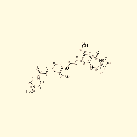 COc1cc(/C=C/C(=O)N2CCN(C)CC2)ccc1OCCOc1cc2c(cc1CO)C(=O)N1CCC[C@H]1C=N2